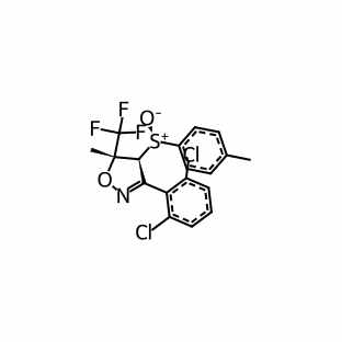 Cc1ccc([S@+]([O-])[C@H]2C(c3c(Cl)cccc3Cl)=NO[C@]2(C)C(F)(F)F)cc1